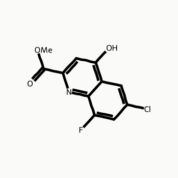 COC(=O)c1cc(O)c2cc(Cl)cc(F)c2n1